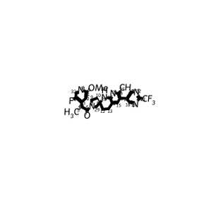 COc1cc([C@@H](C)C(=O)N2CC[C@@]3(CCc4cc(-c5cnc(C(F)(F)F)nc5)c(C)nc4N3)C2)c(F)cn1